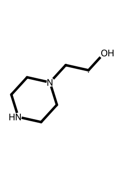 O[CH]CN1CCNCC1